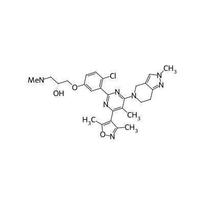 CNC[C@@H](O)COc1ccc(Cl)c(-c2nc(-c3c(C)noc3C)c(C)c(N3CCc4nn(C)cc4C3)n2)c1